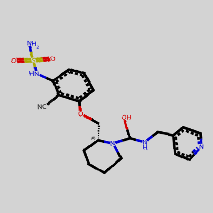 N#Cc1c(NS(N)(=O)=O)cccc1OC[C@H]1CCCCN1C(O)NCc1ccncc1